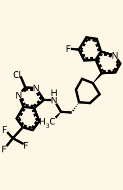 C[C@H](C[C@H]1CC[C@H](c2ccnc3ccc(F)cc32)CC1)Nc1nc(Cl)nc2cc(C(F)(F)F)ccc12